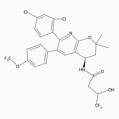 CC1(C)C[C@@H](NC(=O)CC(O)C(F)(F)F)c2cc(-c3ccc(OC(F)(F)F)cc3)c(-c3ccc(Cl)cc3Cl)nc2O1